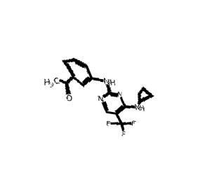 CC(=O)c1cccc(Nc2ncc(C(F)(F)F)c(NC3CC3)n2)c1